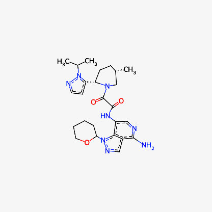 CC(C)n1nccc1[C@@H]1CC[C@H](C)CN1C(=O)C(=O)Nc1cnc(N)c2cnn(C3CCCCO3)c12